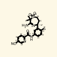 CC1(C)C(N)=N[C@](C)(c2cc(NC(=O)c3ccc(C#N)cn3)ccc2F)CCS1(=O)=O